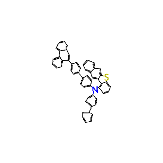 c1ccc(-c2ccc(N(c3ccc(-c4ccc(-c5cc6ccccc6c6ccccc56)cc4)cc3)c3cccc4sc5cc6ccccc6cc5c34)cc2)cc1